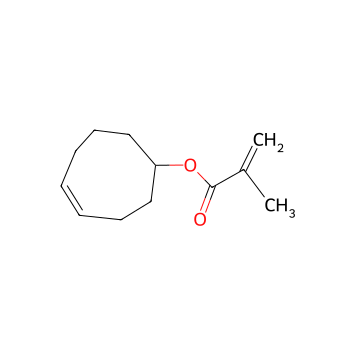 C=C(C)C(=O)OC1CCC=CCCC1